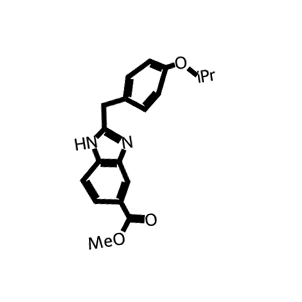 COC(=O)c1ccc2[nH]c(Cc3ccc(OC(C)C)cc3)nc2c1